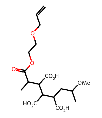 C=CCOCCOC(=O)C(C)C(C(=O)O)C(C(=O)O)C(CC(C)OC)C(=O)O